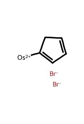 [Br-].[Br-].[Os+2][C]1=CC=CC1